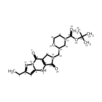 CCc1cc2[nH]c3c(c(=O)n2n1)CN(C[C@@H]1CN(C(=O)OC(C)(C)C)CCO1)C3=O